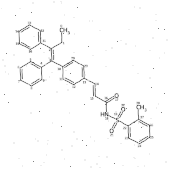 CCC(=C(c1ccccc1)c1ccc(C=CC(=O)NS(=O)(=O)c2ccccc2C)cc1)c1ccccc1